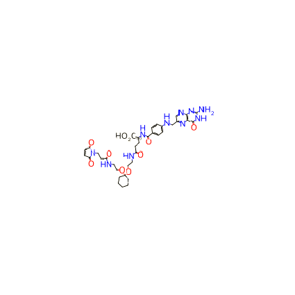 Nc1nc2ncc(CNc3ccc(C(=O)N[C@@H](CCC(=O)NCCOC4(OCCNC(=O)CCN5C(=O)C=CC5=O)CCCCC4)C(=O)O)cc3)nc2c(=O)[nH]1